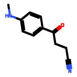 CNc1ccc(C(=O)CCC#N)cc1